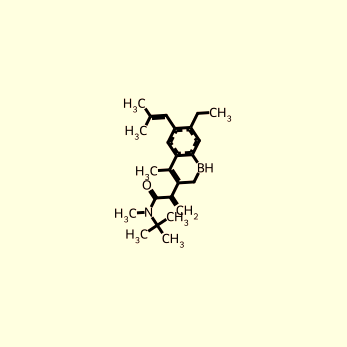 C=C(C(=O)N(C)C(C)(C)C)C1=C(C)c2cc(C=C(C)C)c(CC)cc2BC1